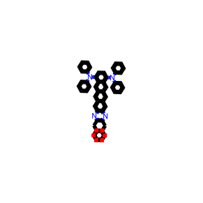 c1ccc(N(c2ccccc2)c2ccc(N(c3ccccc3)c3ccccc3)c3cc4cc5cc6nc7c(nc6cc5cc4cc23)C2c3ccccc3C7c3ccccc32)cc1